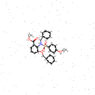 COC(=O)c1cccc(OCc2ccccc2)c1N(Cc1ccccc1)S(=O)(=O)c1ccc(OC)cc1